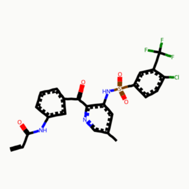 C=CC(=O)Nc1cccc(C(=O)c2ncc(C)cc2NS(=O)(=O)c2ccc(Cl)c(C(F)(F)F)c2)c1